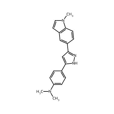 CN(C)c1ccc(-c2cc(-c3ccc4c(ccn4C)c3)n[nH]2)cc1